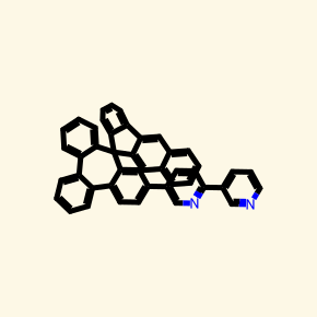 c1cncc(-c2ccc(-c3ccc4c(c3)C3(c5ccccc5-c5ccccc5-4)c4ccccc4-c4cc5ccccc5cc43)cn2)c1